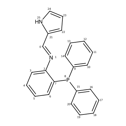 C(=N\c1ccccc1P(c1ccccc1)c1ccccc1)/c1ccc[nH]1